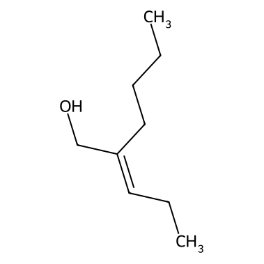 CC/C=C(/CO)CCCC